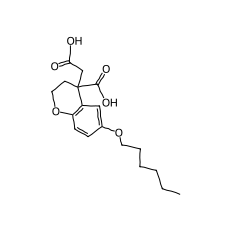 CCCCCCOc1ccc2c(c1)C(CC(=O)O)(C(=O)O)CCO2